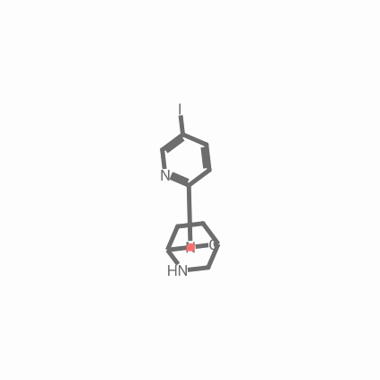 Ic1ccc(N2CC3CCC(C2)NC3)nc1